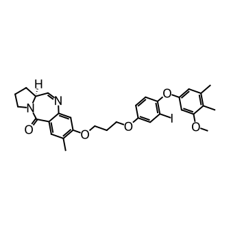 COc1cc(Oc2ccc(OCCCOc3cc4c(cc3C)C(=O)N3CCC[C@H]3C=N4)cc2I)cc(C)c1C